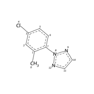 Cc1cc(Cl)ccc1-n1nccn1